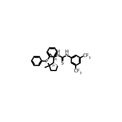 C[C@@H](NC(=S)Nc1cc(C(F)(F)F)cc(C(F)(F)F)c1)[C@@H]1CCCC1(C)P(c1ccccc1)c1ccccc1